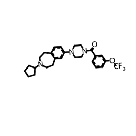 O=C(c1cccc(OC(F)(F)F)c1)N1CCN(c2ccc3c(c2)CCN(C2CCCC2)CC3)CC1